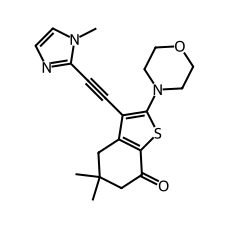 Cn1ccnc1C#Cc1c(N2CCOCC2)sc2c1CC(C)(C)CC2=O